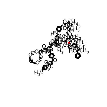 CCC(CS(=O)(=O)c1ccc(C)cc1)C(=O)c1ccc(C(=O)N[C@H](CCC(=O)N[C@H](C(=O)NCC(=O)Nc2ccc(COC(=O)N(C)[C@@H](C(=O)NCC(=O)N(C)C([C@H](C)CC)[C@H](CC(=O)N3CCC[C@H]3[C@H](OC)[C@H](C)C(=O)N[C@@H](C)[C@H](O)c3ccccc3)OC)C(C)C)cc2)C(C)C)C(=O)NCC2COCCOCCOCCOCCO2)cc1